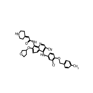 Cc1ccc(COc2ccc(Nc3c(C#N)cnc4c(NC(=O)C=C5CCNCC5)c(OC5CCOC5)ccc34)cc2Cl)cc1